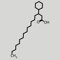 CCCCCCCCCCCCCCC(CC(=O)O)C1CCCCC1